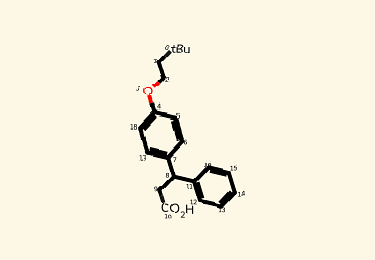 CC(C)(C)CCOc1ccc(C(CC(=O)O)c2ccccc2)cc1